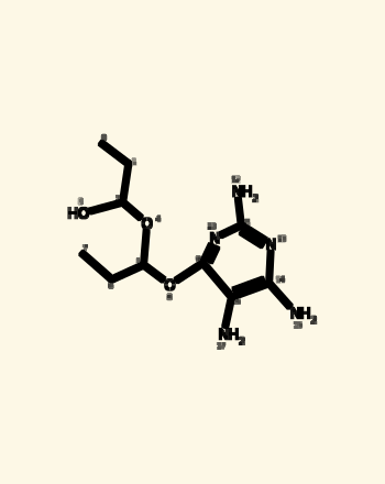 CCC(O)OC(CC)Oc1nc(N)nc(N)c1N